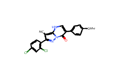 COc1ccc(-c2c[nH]c3c(C#N)c(-c4ccc(Cl)cc4Cl)nn3c2=O)cc1